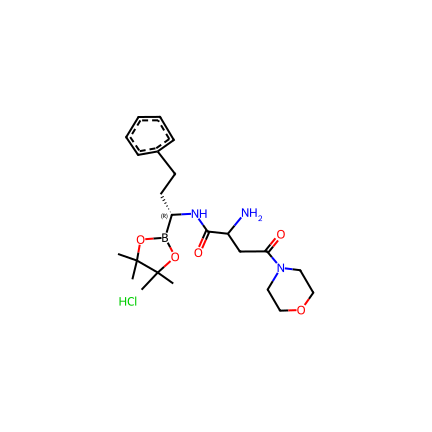 CC1(C)OB([C@H](CCc2ccccc2)NC(=O)C(N)CC(=O)N2CCOCC2)OC1(C)C.Cl